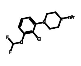 CCCN1CCN(c2cccc(OC(F)F)c2Cl)CC1